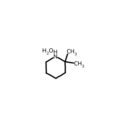 CC1(C)CCCCN1.O